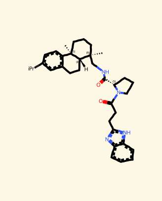 CC(C)c1ccc2c(c1)CC[C@H]1[C@](C)(CNC(=O)[C@@H]3CCCN3C(=O)CCc3nc4ccccc4[nH]3)CCC[C@]21C